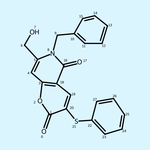 O=c1oc2cc(CO)n(Cc3ccccc3)c(=O)c2cc1Sc1ccccc1